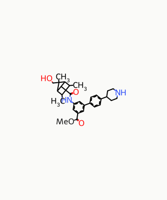 COC(=O)c1cc(NC(=O)C23C(C)C4C2C(C3C)C4(C)CO)cc(-c2ccc(C3CCNCC3)cc2)c1